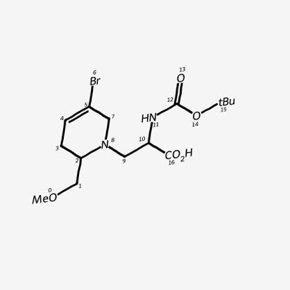 COCC1CC=C(Br)CN1CC(NC(=O)OC(C)(C)C)C(=O)O